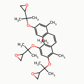 Cc1cc(OC(C)(C)C2CO2)cc(C)c1/C=C\c1c(C)c(OC(C)(C)C2CO2)cc(OC(C)(C)C2CO2)c1C